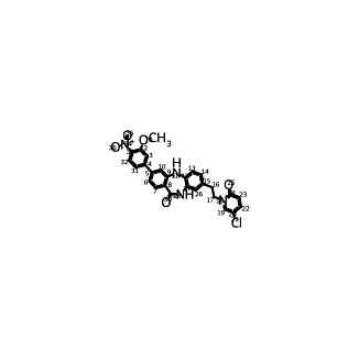 COc1cc(-c2ccc3c(c2)Nc2ccc(CCn4cc(Cl)ccc4=O)cc2NC3=O)ccc1[N+](=O)[O-]